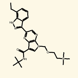 CCc1cccc2c(-c3cnc4c(n3)c(C(=O)NC(C)(C)C)cn4COCC[Si](C)(C)C)n[nH]c12